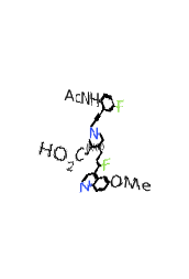 COc1ccc2nccc(C(F)CC[C@@H]3CCN(CC#Cc4cc(F)ccc4NC(C)=O)C[C@@H]3CC(=O)O)c2c1